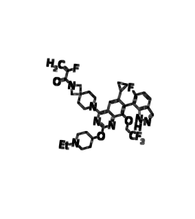 C=C(F)C(=O)N1CC2(CCN(c3nc(OC4CCN(CC)CC4)nc4c(OCC(F)(F)F)c(-c5c(F)ccc6cn[nH]c56)c(C5CC5)cc34)CC2)C1